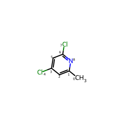 Cc1cc(Cl)[c]c(Cl)n1